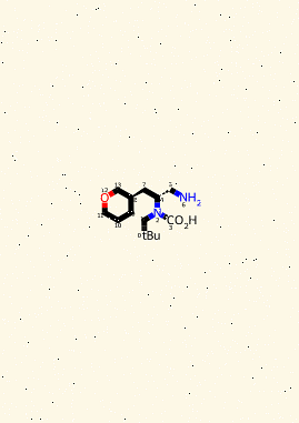 CC(C)(C)CN(C(=O)O)[C@@H](CN)C[C@H]1CCCOC1